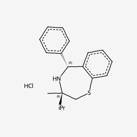 CC(C)[C@]1(C)CSc2ccccc2[C@@H](c2ccccc2)N1.Cl